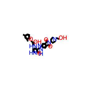 Cc1ccc(OC[C@H](O)CNc2cc[nH]c(=O)c2-c2nc3cc4c(cc3[nH]2)C(=O)N(C2CCN(CCO)CC2)C4=O)c(C)c1